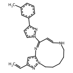 C=Cc1cc2n(n1)CCCCCN/C=C/C(n1ccc(-c3cccc(C)c3)n1)=N\2